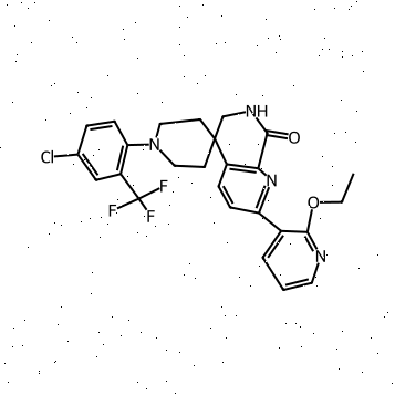 CCOc1ncccc1-c1ccc2c(n1)C(=O)NCC21CCN(c2ccc(Cl)cc2C(F)(F)F)CC1